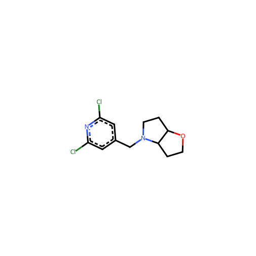 Clc1cc(CN2CCC3OCCC32)cc(Cl)n1